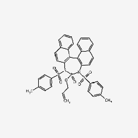 C=CCOP1(=O)N(S(=O)(=O)c2ccc(C)cc2)c2ccc3ccccc3c2-c2c(ccc3ccccc23)N1S(=O)(=O)c1ccc(C)cc1